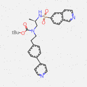 C[C@H](CN(CCc1ccc(-c2ccncc2)cc1)C(=O)OC(C)(C)C)NS(=O)(=O)c1ccc2cnccc2c1